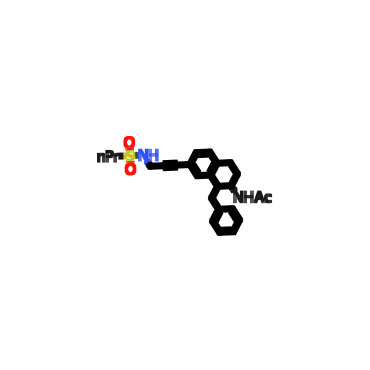 CCCS(=O)(=O)NCC#Cc1ccc2c(c1)C(Cc1ccccc1)C(NC(C)=O)CC2